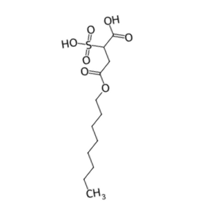 CCCCCCCCOC(=O)CC(C(=O)O)S(=O)(=O)O